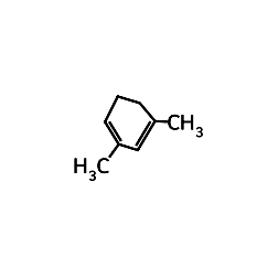 CC1=CCCC(C)=C1